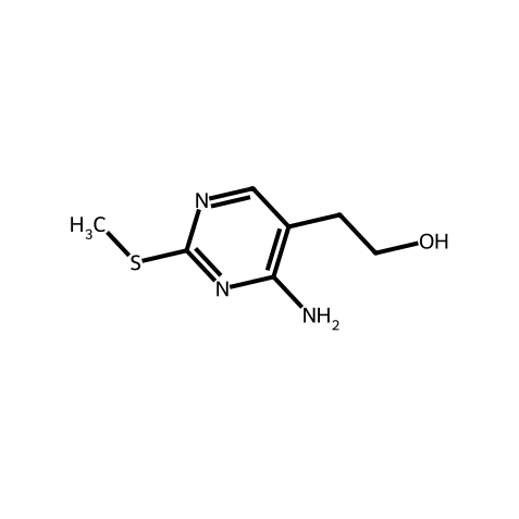 CSc1ncc(CCO)c(N)n1